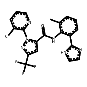 Cc1cccc(-c2ncc[nH]2)c1NC(=O)c1cc(C(F)(F)F)nn1-c1ncccc1Cl